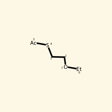 [CH2]COCCSC(C)=O